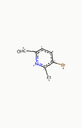 CCc1nc(C=O)ccc1Br